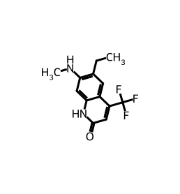 CCc1cc2c(C(F)(F)F)cc(=O)[nH]c2cc1NC